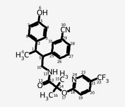 CC(c1ccc(O)cc1)C(CNC(=O)C(C)(C)Oc1ccc(C(F)(F)F)cn1)c1cccc(C#N)c1